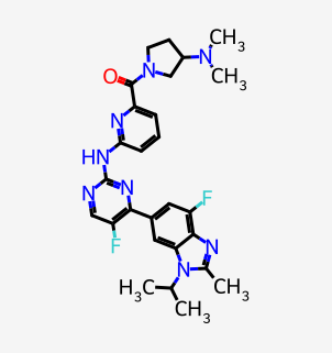 Cc1nc2c(F)cc(-c3nc(Nc4cccc(C(=O)N5CCC(N(C)C)C5)n4)ncc3F)cc2n1C(C)C